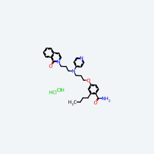 CCCCc1cc(OCCCN(CCCn2ccc3ccccc3c2=O)c2ccncc2)ccc1C(N)=O.Cl.Cl